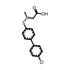 CN(CC(=O)O)Sc1ccc(-c2ccc(Cl)cc2)cc1